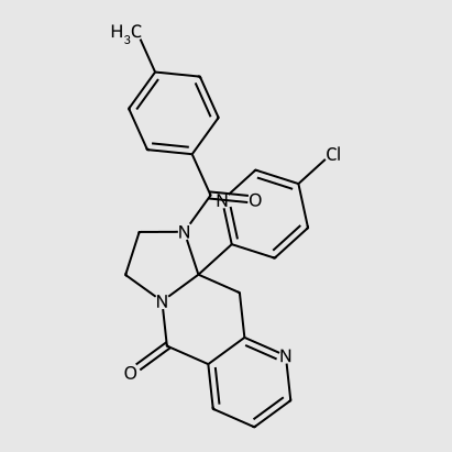 Cc1ccc(C(=O)N2CCN3C(=O)c4cccnc4CC23c2ccc(Cl)cn2)cc1